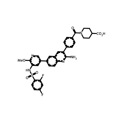 COc1ncc(-c2ccc3nc(N)c(-c4ccc(C(=O)N5CCC(C(=O)O)CC5)cc4)cc3c2)cc1NS(=O)(=O)c1ccc(F)cc1F